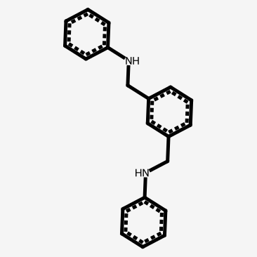 c1ccc(NCc2cccc(CNc3ccccc3)c2)cc1